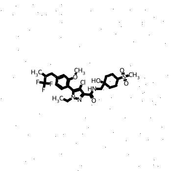 CCn1nc(C(=O)NCC2(O)CCC(S(C)(=O)=O)CC2)c(Cl)c1-c1ccc(CC(C)C(F)(F)F)cc1OC